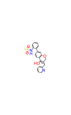 CS(=O)(=O)Nc1ccccc1-c1ccc2c(c1)OC[C@@H](Cc1ccccn1)[C@H]2O